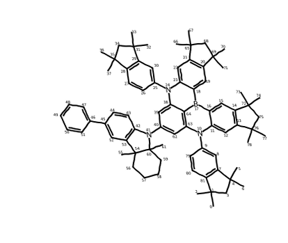 CC1(C)CC(C)(C)c2cc(N3c4cc5c(cc4B4c6cc7c(cc6N(c6ccc8c(c6)C(C)(C)CC8(C)C)c6cc(N8c9ccc(-c%10ccccc%10)cc9C9(C)CCCCC89C)cc3c64)C(C)(C)CC7(C)C)C(C)(C)CC5(C)C)ccc21